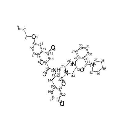 C=CCOc1ccc2oc(C(=O)N[C@H](Cc3ccc(Cl)cc3)C(=O)N3CCN(c4ccccc4C(=O)N4CCCCC4)CC3)cc(=O)c2c1